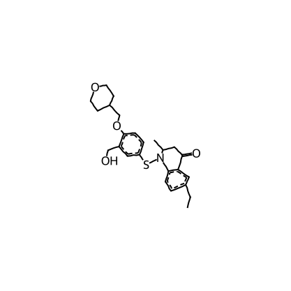 CCc1ccc2c(c1)C(=O)CC(C)N2Sc1ccc(OCC2CCOCC2)c(CO)c1